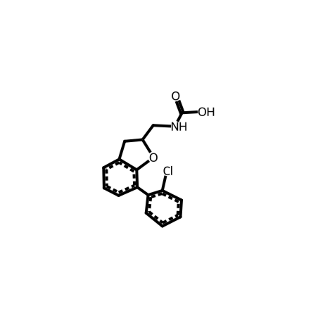 O=C(O)NCC1Cc2cccc(-c3ccccc3Cl)c2O1